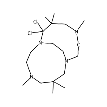 CN1CCN2CCN(CCN(C)CC(C)(C)C2(Cl)Cl)CC(C)(C)C1